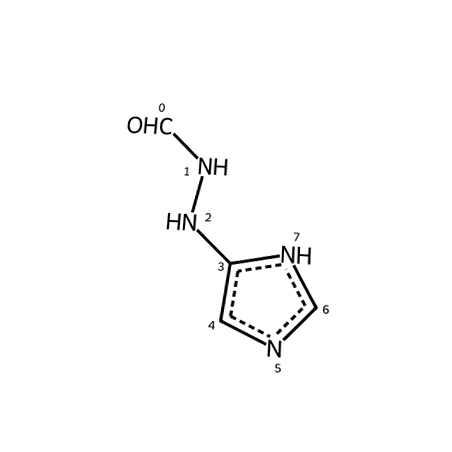 O=CNNc1cnc[nH]1